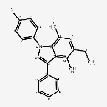 [CH2]Cc1nc(C)c2c(c(-c3ccccc3)cn2-c2ccc(F)cc2)c1O